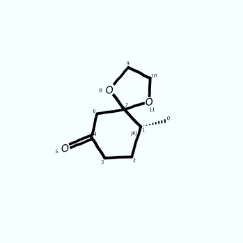 C[C@@H]1CCC(=O)CC12OCCO2